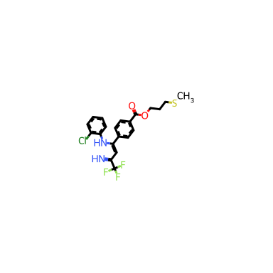 CSCCCOC(=O)c1ccc(/C(=C/C(=N)C(F)(F)F)Nc2ccccc2Cl)cc1